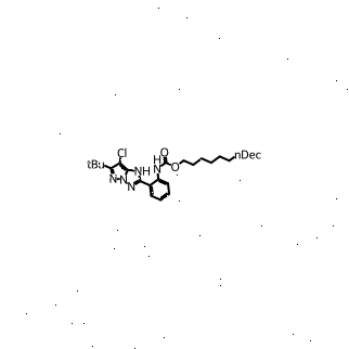 CCCCCCCCCCCCCCCCOC(=O)Nc1ccccc1-c1nn2nc(C(C)(C)C)c(Cl)c2[nH]1